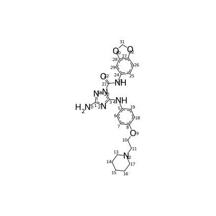 Nc1nc(Nc2ccc(OCCN3CCCCC3)cc2)n(C(=O)Nc2ccc3c(c2)OCO3)n1